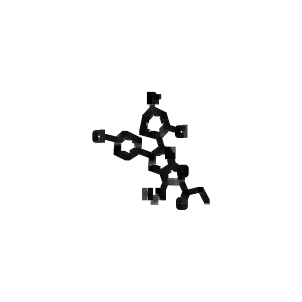 CCC(=O)c1oc2nc(-c3ccc(Br)cc3Cl)c(-c3ccc(Cl)cc3)cc2c1N